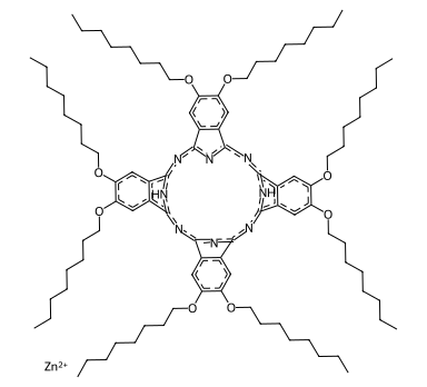 CCCCCCCCOc1cc2c(cc1OCCCCCCCC)-c1nc-2nc2[nH]c(nc3nc(nc4[nH]c(n1)c1cc(OCCCCCCCC)c(OCCCCCCCC)cc41)-c1cc(OCCCCCCCC)c(OCCCCCCCC)cc1-3)c1cc(OCCCCCCCC)c(OCCCCCCCC)cc21.[Zn+2]